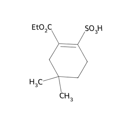 CCOC(=O)C1=C(S(=O)(=O)O)CCC(C)(C)C1